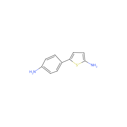 Nc1ccc(-c2ccc(N)s2)cc1